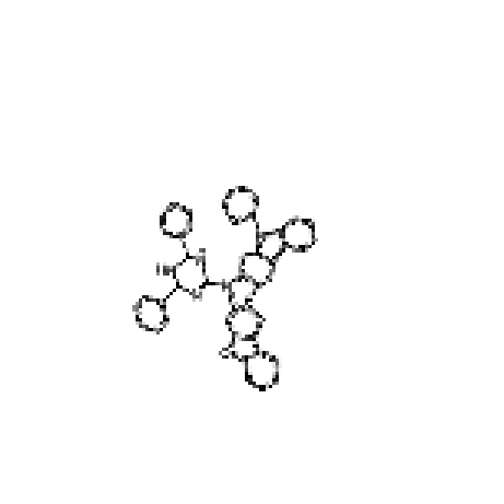 c1ccc(C2N=C(n3c4cc5oc6ccccc6c5cc4c4cc5c6ccccc6n(-c6ccccc6)c5cc43)NC(c3ccccc3)N2)cc1